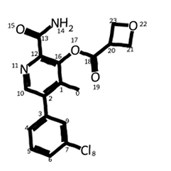 Cc1c(-c2cccc(Cl)c2)cnc(C(N)=O)c1OC(=O)C1COC1